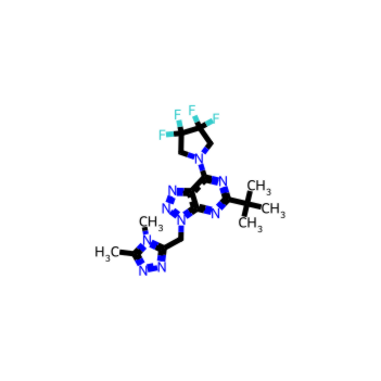 Cc1nnc(Cn2nnc3c(N4CC(F)(F)C(F)(F)C4)nc(C(C)(C)C)nc32)n1C